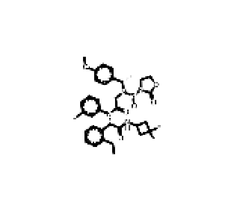 CCc1ccccc1[C@@H](C(=O)NC1CC(F)(F)C1)N(C(=O)CN([C@@H](C)c1ccc(OC)cc1)[S+]([O-])N1CCOC1=O)c1cccc(F)c1